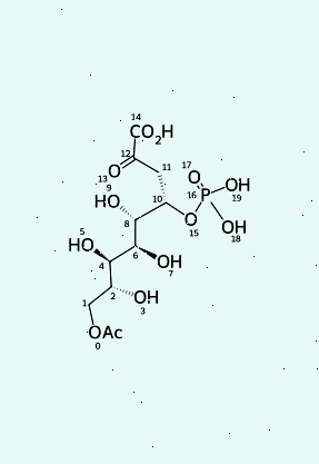 CC(=O)OC[C@@H](O)[C@@H](O)[C@H](O)[C@H](O)[C@H](CC(=O)C(=O)O)OP(=O)(O)O